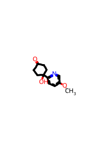 COc1ccc(C2(O)CCC(=O)CC2)nc1